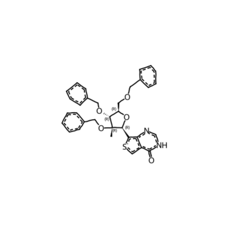 C[C@@]1(OCc2ccccc2)[C@H](OCc2ccccc2)[C@@H](COCc2ccccc2)O[C@H]1c1scc2c(=O)[nH]cnc12